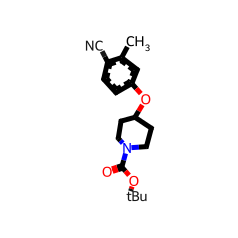 Cc1cc(OC2CCN(C(=O)OC(C)(C)C)CC2)ccc1C#N